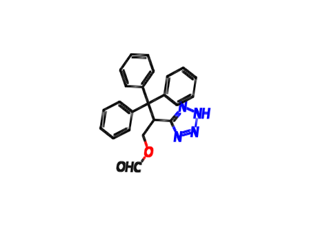 O=COCC(c1nn[nH]n1)C(c1ccccc1)(c1ccccc1)c1ccccc1